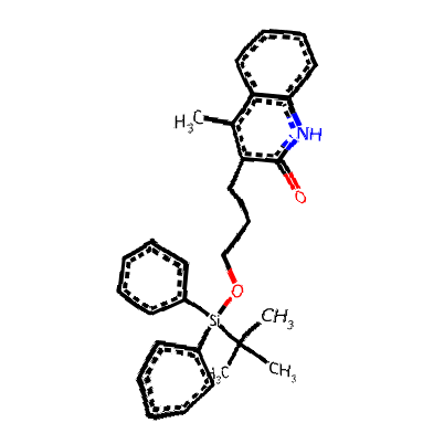 Cc1c(CCCO[Si](c2ccccc2)(c2ccccc2)C(C)(C)C)c(=O)[nH]c2ccccc12